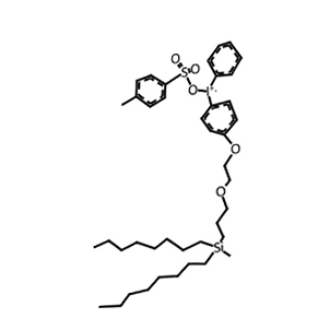 CCCCCCCC[Si](C)(CCCCCCCC)CCCOCCOc1ccc([I+](OS(=O)(=O)c2ccc(C)cc2)c2ccccc2)cc1